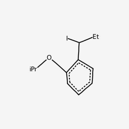 CCC(I)c1ccccc1OC(C)C